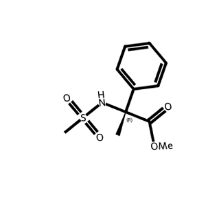 COC(=O)[C@](C)(NS(C)(=O)=O)c1ccccc1